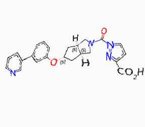 O=C(O)c1ccn(C(=O)N2C[C@H]3C[C@H](Oc4cccc(-c5cccnc5)c4)C[C@H]3C2)n1